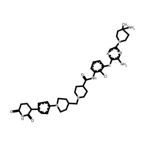 CC1(N)CCN(c2cnc(Sc3cccc(NC(=O)C4CCN(CC5CCN(c6ccc(C7CCC(=O)NC7=O)cc6)CC5)CC4)c3Cl)c(N)n2)CC1